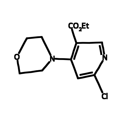 CCOC(=O)c1cnc(Cl)cc1N1CCOCC1